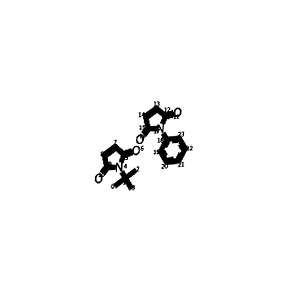 CC(C)(C)N1C(=O)C=CC1=O.O=C1C=CC(=O)N1c1ccccc1